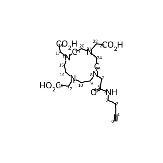 C#CCCNC(=O)CN1CCN(CC(=O)O)CCN(CC(=O)O)CCN(CC(=O)O)CC1